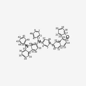 c1ccc(N(c2ccc(-c3ccc4ccc5oc6ccccc6c5c4c3)cc2)c2ccc3c4ccccc4n(-c4ccccc4)c3c2)cc1